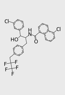 O=C(NC(Cc1ccc(CC(F)(F)C(F)(F)F)cc1)C(O)c1cccc(Cl)c1)c1cccc2c(Cl)cccc12